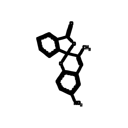 CC1=Cc2cc([N+](=O)[O-])ccc2OC12OC(=O)c1ccccc12